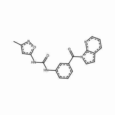 Cc1cc(NC(=O)Nc2cccc(C(=O)n3ccc4cccnc43)c2)on1